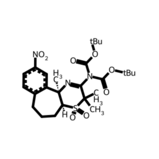 CC(C)(C)OC(=O)N(C(=O)OC(C)(C)C)C1=N[C@]2(C)c3cc([N+](=O)[O-])ccc3CCC[C@@H]2S(=O)(=O)C1(C)C